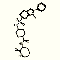 Cn1c(-c2ccccc2)cc2ccc(S(=O)(=O)NC3CCC(C(=O)NC4CCCCNC4=O)CC3)cc21